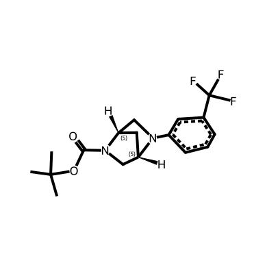 CC(C)(C)OC(=O)N1C[C@@H]2C[C@H]1CN2c1cccc(C(F)(F)F)c1